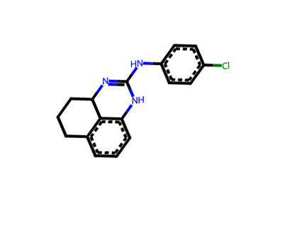 Clc1ccc(NC2=NC3CCCc4cccc(c43)N2)cc1